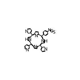 S=C=Nc1ccc(-c2c3nc(c(-c4cccnc4)c4ccc([nH]4)c(-c4cccnc4)c4nc(c(-c5cccnc5)c5ccc2[nH]5)C=C4)C=C3)cc1